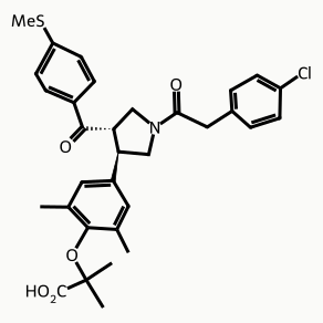 CSc1ccc(C(=O)[C@@H]2CN(C(=O)Cc3ccc(Cl)cc3)C[C@H]2c2cc(C)c(OC(C)(C)C(=O)O)c(C)c2)cc1